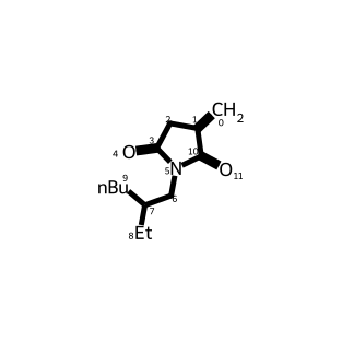 C=C1CC(=O)N(CC(CC)CCCC)C1=O